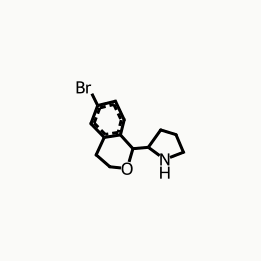 Brc1ccc2c(c1)CCOC2C1CCCN1